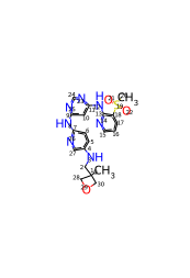 CC1(CNc2ccc(Nc3cc(Nc4ncccc4S(C)(=O)=O)ncn3)nc2)COC1